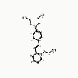 OCCN(CCO)c1ccc(/C=C/c2cccc[n+]2CCS)cc1